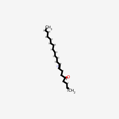 C=CCCC(=O)CC/C=C/CCCCCCCCCCCC